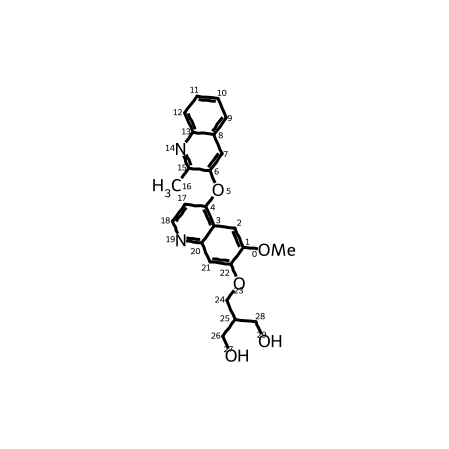 COc1cc2c(Oc3cc4ccccc4nc3C)ccnc2cc1OCC(CO)CO